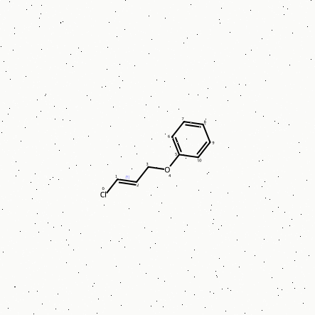 Cl/C=C/COc1cc[c]cc1